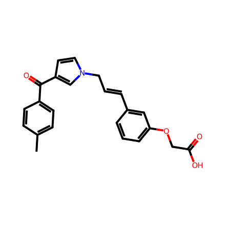 Cc1ccc(C(=O)c2ccn(CC=Cc3cccc(OCC(=O)O)c3)c2)cc1